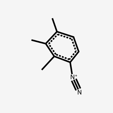 Cc1ccc([N+]#N)c(C)c1C